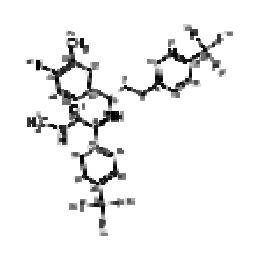 CNC(=O)[C@@H](N[C@@H](CCc1ccc(C(F)(F)F)nc1)c1ccc(F)c(C)c1)c1ccc(C(F)(F)F)cc1